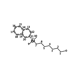 CCCCCCCC[Si](C)(C)c1ccc2ccccc2c1